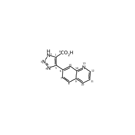 O=C(O)c1[nH]nnc1-c1ccc2cccnc2c1